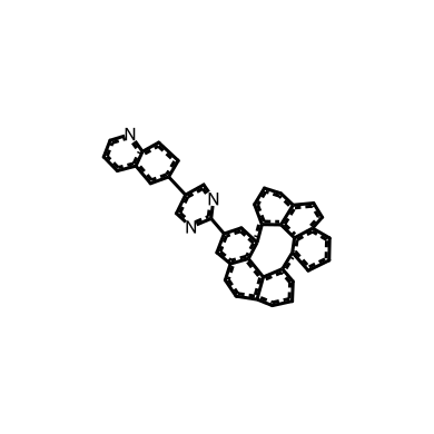 c1cnc2ccc(-c3cnc(-c4cc5ccc6cccc7c8cccc9ccc%10cccc(c(c4)c5c67)c%10c98)nc3)cc2c1